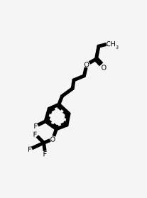 CCC(=O)OCCCCc1ccc(OC(F)(F)F)c(F)c1